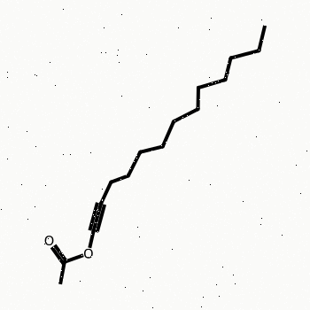 CCCCCCCCCCCC#COC(C)=O